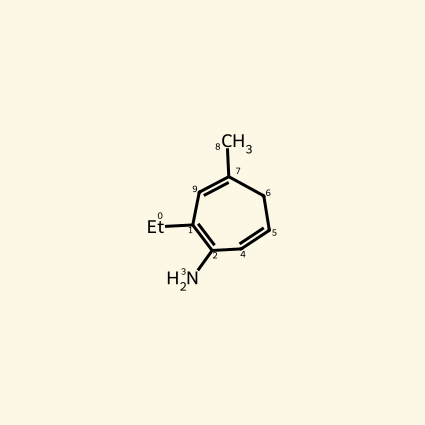 CCC1=C(N)C=CCC(C)=C1